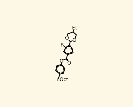 CCCCCCCCc1ccc(OC(=O)c2ccc(C3OCC(CC)CO3)c(F)c2)cc1